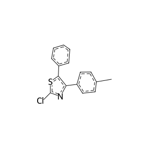 Cc1ccc(-c2nc(Cl)sc2-c2ccccc2)cc1